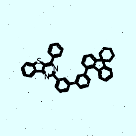 c1ccc(-c2nc(-c3cccc(-c4cccc(-c5cccc6c5-c5ccccc5C65CCCCC5)c4)c3)nc3c2sc2ccccc23)cc1